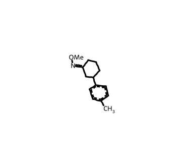 CO/N=C1\CCCC(c2ccc(C)cc2)C1